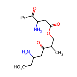 CC(C)C(=O)C(N)CC(=O)OCC(C)C(=O)CC(N)CC(=O)O